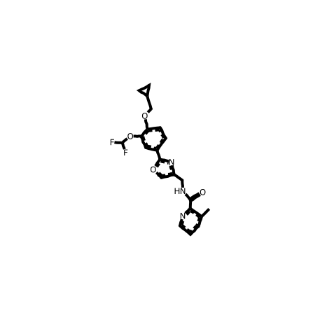 Cc1cccnc1C(=O)NCc1coc(-c2ccc(OCC3CC3)c(OC(F)F)c2)n1